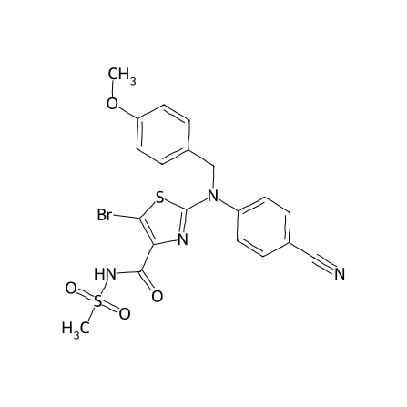 COc1ccc(CN(c2ccc(C#N)cc2)c2nc(C(=O)NS(C)(=O)=O)c(Br)s2)cc1